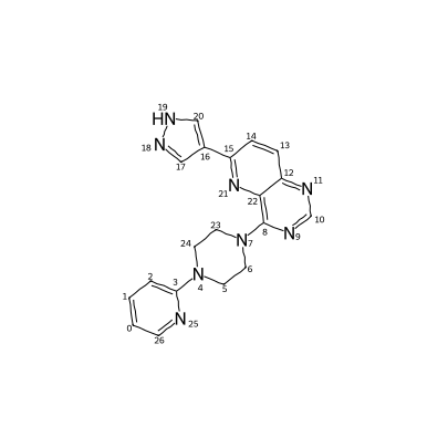 c1ccc(N2CCN(c3ncnc4ccc(-c5cn[nH]c5)nc34)CC2)nc1